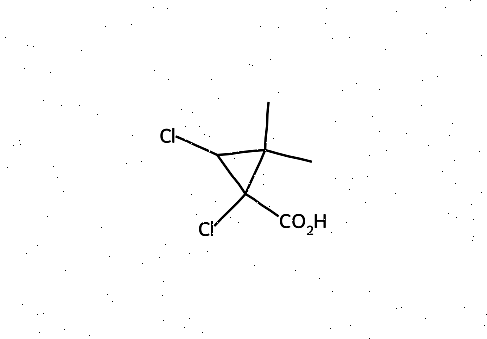 CC1(C)C(Cl)C1(Cl)C(=O)O